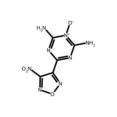 Nc1nc(-c2nonc2[N+](=O)[O-])nc(N)[n+]1[O-]